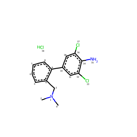 CN(C)Cc1ccccc1-c1cc(Cl)c(N)c(Cl)c1.Cl